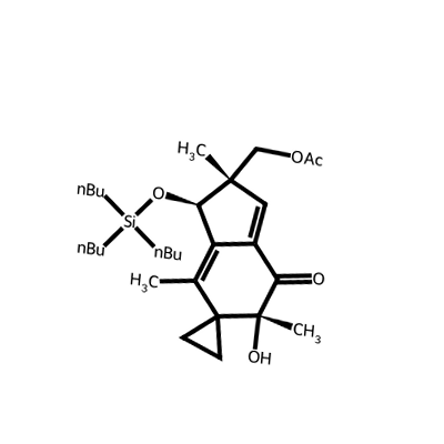 CCCC[Si](CCCC)(CCCC)O[C@@H]1C2=C(C)C3(CC3)[C@@](C)(O)C(=O)C2=C[C@@]1(C)COC(C)=O